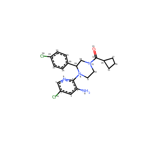 Nc1cc(Cl)cnc1N1CCN(C(=O)C2CCC2)CC1c1ccc(Cl)cc1